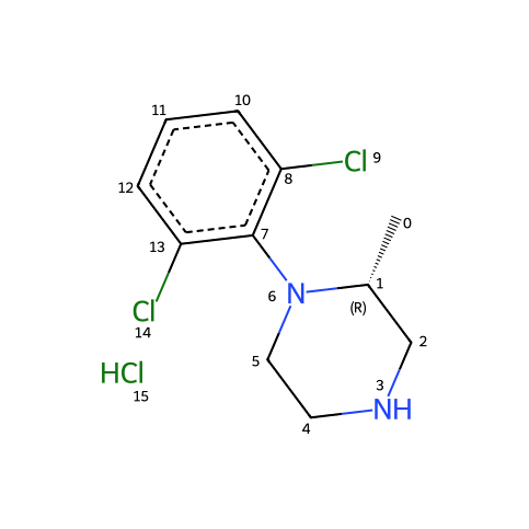 C[C@@H]1CNCCN1c1c(Cl)cccc1Cl.Cl